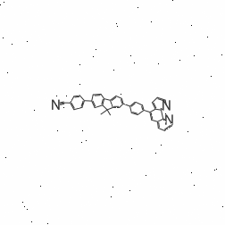 CC1(C)c2cc(-c3ccc(C#N)cc3)ccc2-c2ccc(-c3ccc(-c4cc5cccnc5c5ncccc45)cc3)cc21